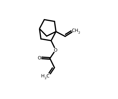 C=CC(=O)OC1CC2CCC1(C=C)C2